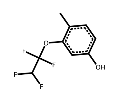 Cc1ccc(O)cc1OC(F)(F)C(F)F